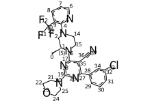 C[C@H]1CN(c2ncccc2C(F)(F)F)CCN1c1nc(N2CCOCC2)nc(-c2cccc(Cl)c2)c1C#N